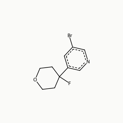 FC1(c2cncc(Br)c2)CCOCC1